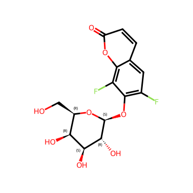 O=c1ccc2cc(F)c(O[C@@H]3O[C@H](CO)[C@H](O)[C@H](O)[C@H]3O)c(F)c2o1